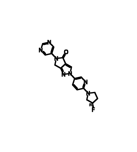 O=C1c2cn(-c3ccc(N4CC[C@@H](F)C4)nc3)nc2CN1c1cncnc1